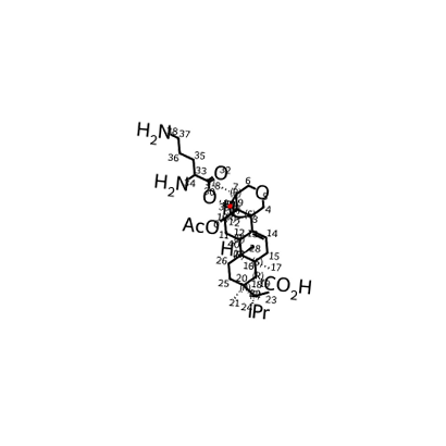 CC(=O)O[C@@H]1C[C@]23COC[C@@](C)([C@@H]2CC[C@H]2C3=CC[C@@]3(C)[C@H](C(=O)O)[C@@](C)([C@H](C)C(C)C)CC[C@]23C)[C@H]1OC(=O)C(N)CCCN